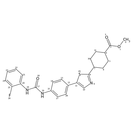 COC(=O)C1CCC(c2ncc(-c3ccc(NC(=O)Nc4ccccc4F)cc3)s2)CC1